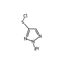 CC(C)n1ncc(SCl)n1